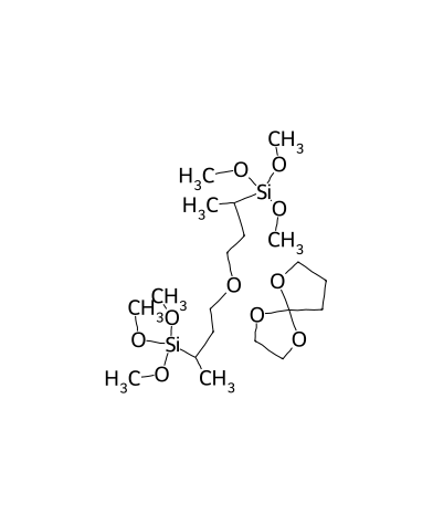 C1COC2(C1)OCCO2.CO[Si](OC)(OC)C(C)CCOCCC(C)[Si](OC)(OC)OC